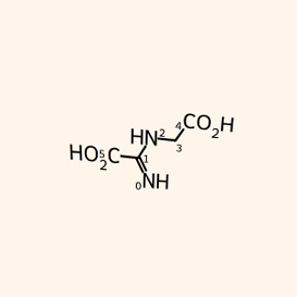 N=C(NCC(=O)O)C(=O)O